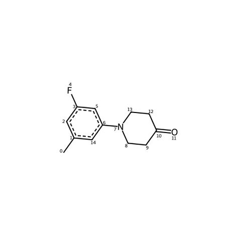 Cc1cc(F)cc(N2CCC(=O)CC2)c1